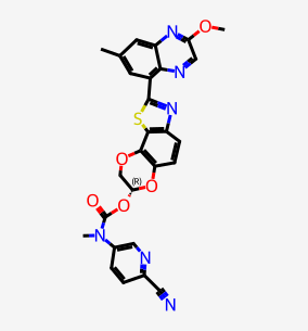 COc1cnc2c(-c3nc4ccc5c(c4s3)OC[C@@H](OC(=O)N(C)c3ccc(C#N)nc3)O5)cc(C)cc2n1